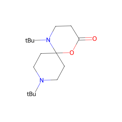 CC(C)(C)N1CCC2(CC1)OC(=O)CCN2C(C)(C)C